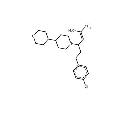 CC(C)=CC(CCc1ccc(Cl)cc1)N1CCC(C2CCOCC2)CC1